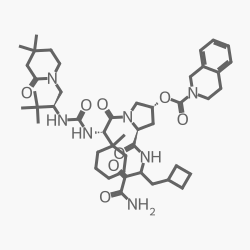 CC1(C)CCN(C[C@@H](NC(=O)N[C@H](C(=O)N2C[C@H](OC(=O)N3CCc4ccccc4C3)C[C@H]2C(=O)NC(CC2CCC2)C(=O)C(N)=O)C2(C)CCCCC2)C(C)(C)C)C(=O)C1